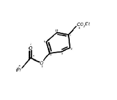 CCOC(=O)c1ccc(OC(=O)C(C)C)cc1